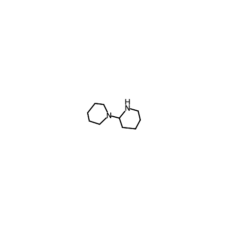 C1CCN(C2CCCCN2)CC1